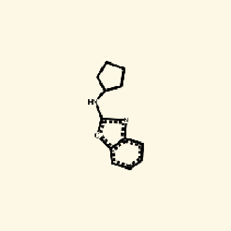 c1ccc2oc(NC3CCCC3)nc2c1